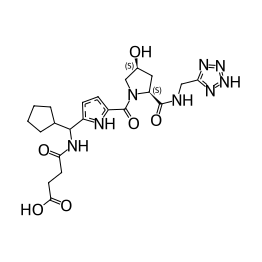 O=C(O)CCC(=O)NC(c1ccc(C(=O)N2C[C@@H](O)C[C@H]2C(=O)NCc2nn[nH]n2)[nH]1)C1CCCC1